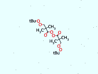 CC(C)(C)OOCC(C)(C)C(=O)OOC(=O)C(C)(C)COOC(C)(C)C